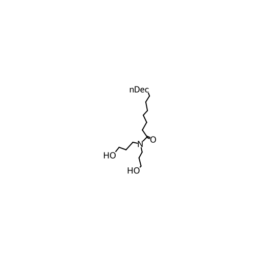 CCCCCCCCCCCCCCCCC(=O)N(CCCO)CCCO